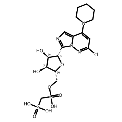 O=P(O)(O)CP(=O)(O)OC[C@H]1O[C@@H](c2ncc3c(N4CCCCC4)cc(Cl)nn23)[C@H](O)[C@@H]1O